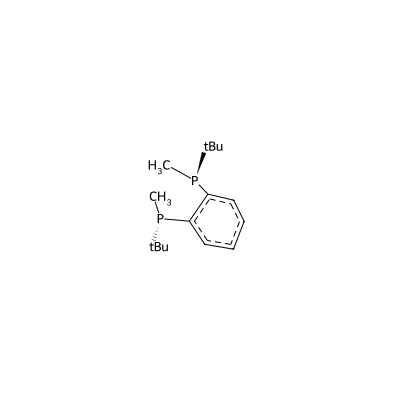 C[P@](c1ccccc1[P@@](C)C(C)(C)C)C(C)(C)C